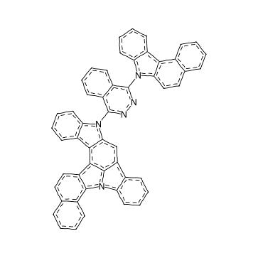 c1ccc2c(c1)ccc1c2c2ccccc2n1-c1nnc(-n2c3ccccc3c3c4c5ccc6ccccc6c5n5c6ccccc6c(cc32)c45)c2ccccc12